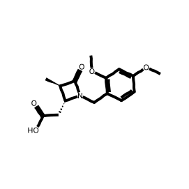 COc1ccc(CN2C(=O)[C@H](C)[C@H]2CC(=O)O)c(OC)c1